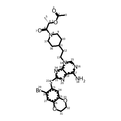 CC(=O)O[C@@H](C)C(=O)N1CCC(CCn2cnc(N)c3nc(Sc4cc5c(cc4Br)OCCO5)nc2-3)CC1